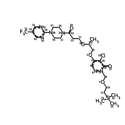 C[C@@H](COc1cnn(COCC[Si](C)(C)C)c(=O)c1Cl)OCCC(=O)N1CCN(c2ncc(C(F)(F)F)cn2)CC1